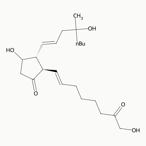 CCCCC(C)(O)C/C=C/[C@H]1C(O)CC(=O)[C@@H]1/C=C/CCCCC(=O)CO